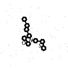 c1ccc(-c2ccc3cc(-c4ccc(N(c5ccc(-c6cccc7c6sc6ccccc67)cc5)c5cccc6oc7ccccc7c56)cc4)ccc3c2)cc1